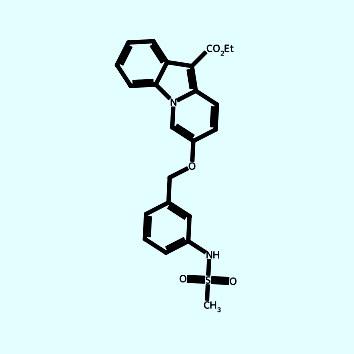 CCOC(=O)c1c2ccccc2n2cc(OCc3cccc(NS(C)(=O)=O)c3)ccc12